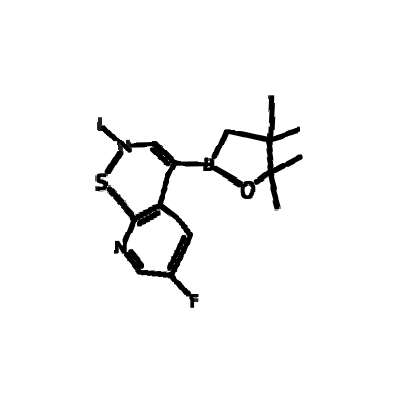 CC1(C)CB(C2=CN(I)Sc3ncc(F)cc32)OC1(C)C